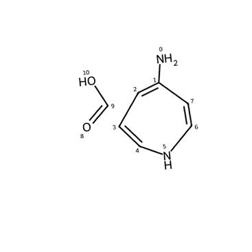 NC1=CC=CNC=C1.O=CO